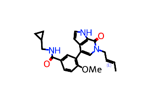 C/C=C/Cn1cc(-c2cc(C(=O)NCC3CC3)ccc2OC)c2cc[nH]c2c1=O